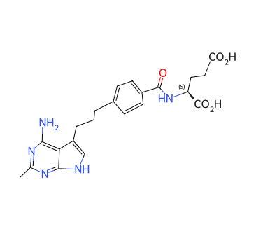 Cc1nc(N)c2c(CCCc3ccc(C(=O)N[C@@H](CCC(=O)O)C(=O)O)cc3)c[nH]c2n1